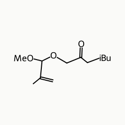 C=C(C)C(OC)OCC(=O)CC(C)CC